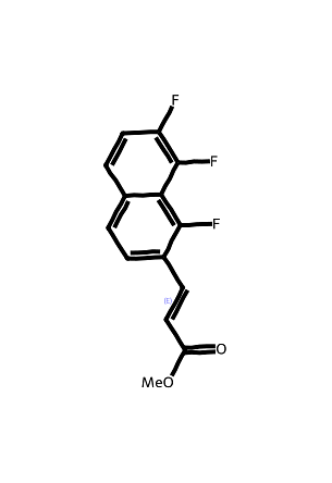 COC(=O)/C=C/c1ccc2ccc(F)c(F)c2c1F